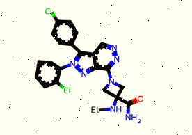 CCNC1(C(N)=O)CN(c2nncc3c(-c4ccc(Cl)cc4)n(-c4ccccc4Cl)nc23)C1